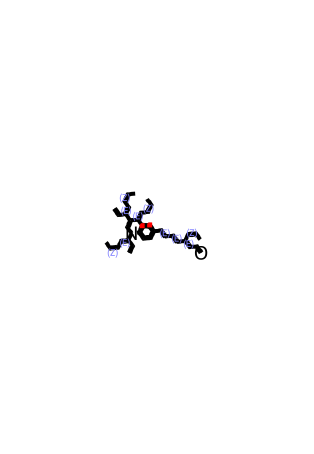 C=C/C(=C\C=C/C)C(=CN(/C(C=C)=C/C=C\C)c1ccc(/C=C/C=C/C(/C=C\C)=C/C=O)cc1)/C(C=C)=C/C=C\C